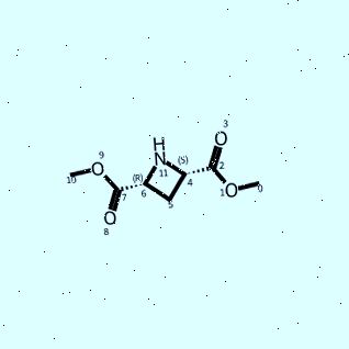 COC(=O)[C@@H]1C[C@H](C(=O)OC)N1